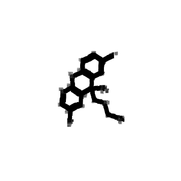 N#CCOCC1(N)c2cc(I)ccc2Oc2ncc(Br)cc21